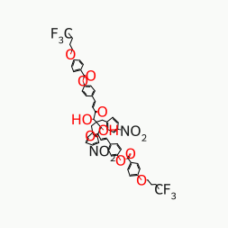 O=C(Oc1ccc(/C=C/C(=O)C(O)C(Cc2ccc([N+](=O)[O-])cc2)(Cc2ccc([N+](=O)[O-])cc2)C(O)C(=O)/C=C/c2ccc(OC(=O)c3ccc(OCCCC(F)(F)F)cc3)cc2)cc1)c1ccc(OCCCC(F)(F)F)cc1